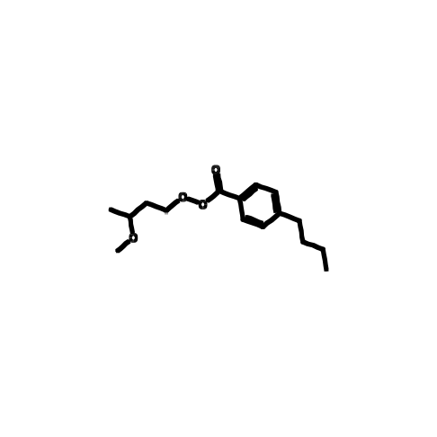 CCCCc1ccc(C(=O)OO[CH]CC(C)OC)cc1